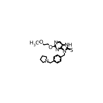 COCCOc1ncc2[nH]c(=S)n(Cc3ccc(CN4CCCC4)cc3)c2n1